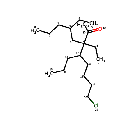 CCCC(CC)CC(CC)(C(C)=O)C(CCC)CCCCCl